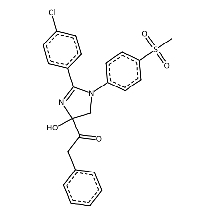 CS(=O)(=O)c1ccc(N2CC(O)(C(=O)Cc3ccccc3)N=C2c2ccc(Cl)cc2)cc1